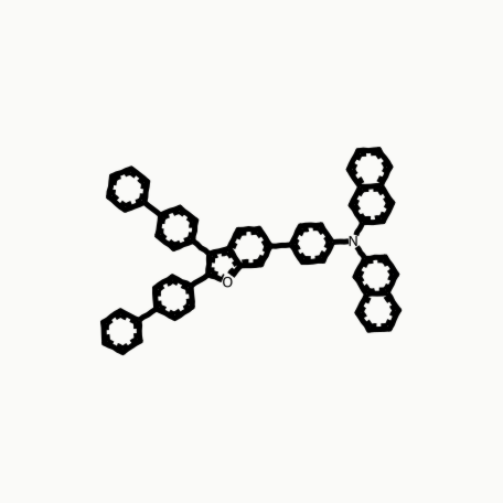 c1ccc(-c2ccc(-c3oc4cc(-c5ccc(N(c6ccc7ccccc7c6)c6ccc7ccccc7c6)cc5)ccc4c3-c3ccc(-c4ccccc4)cc3)cc2)cc1